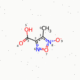 Cc1c(C(=O)O)no[n+]1[O-]